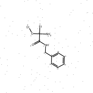 CCOC(N)(CC)C(=O)NCc1ccccc1